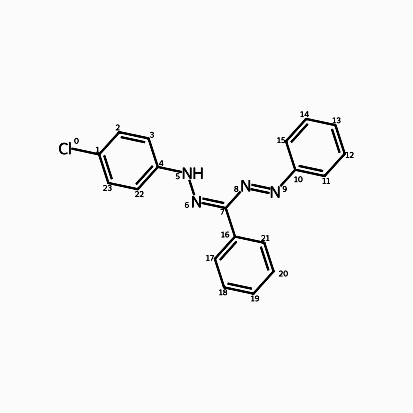 Clc1ccc(NN=C(N=Nc2ccccc2)c2ccccc2)cc1